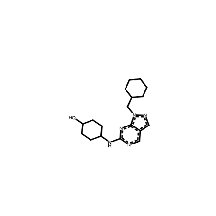 OC1CCC(Nc2ncc3cnn(CC4CCCCC4)c3n2)CC1